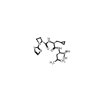 CC(C)C[C@@H](NC(=O)[C@H](CC1CC1)NC(=O)[C@@H]1CCN1c1nccs1)B(O)O